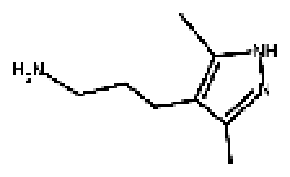 Cc1n[nH]c(C)c1CCCN